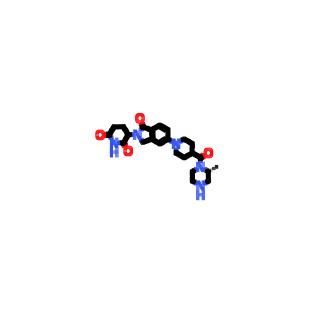 C[C@@H]1CNCCN1C(=O)C1CCN(c2ccc3c(c2)CN(C2CCC(=O)NC2=O)C3=O)CC1